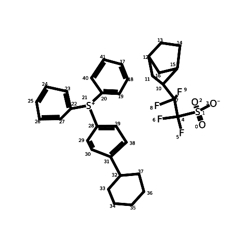 O=S(=O)([O-])C(F)(F)C(F)(F)C1CC2CCC1C2.c1ccc([S+](c2ccccc2)c2ccc(C3CCCCC3)cc2)cc1